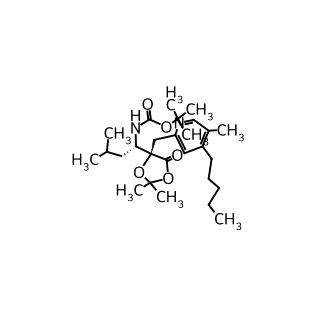 CCCCCc1cc(C[C@]2([C@H](CC(C)C)NC(=O)OC(C)(C)C)OC(C)(C)OC2=O)ncc1C